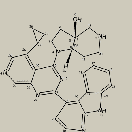 O[C@]12CCN(c3nc(-c4ccnc5[nH]c6ccccc6c45)nc4cncc(C5CC5)c34)[C@H]1CCNC2